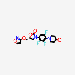 O=C1C=CN(c2c(F)cc(N3C[C@H](COc4ccon4)OC3=O)c(F)c2F)CC1